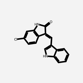 O=C1Nc2cc(Cl)ccc2/C1=C\c1c[nH]c2ccccc12